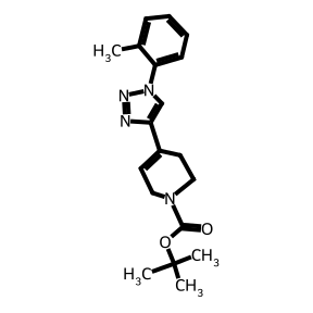 Cc1ccccc1-n1cc(C2=CCN(C(=O)OC(C)(C)C)CC2)nn1